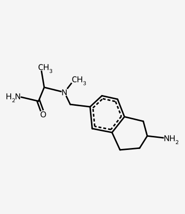 CC(C(N)=O)N(C)Cc1ccc2c(c1)CCC(N)C2